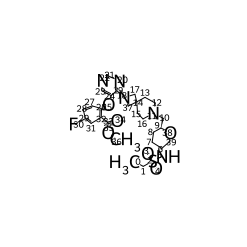 CCS(=O)(=O)N[C@@H]1CC[C@@H](CN2CCC3(CC2)CN(c2ncncc2Oc2ccc(F)cc2C(=O)OC)C3)OC1